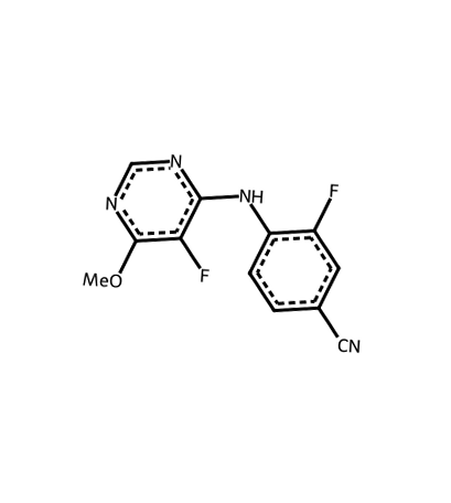 COc1ncnc(Nc2ccc(C#N)cc2F)c1F